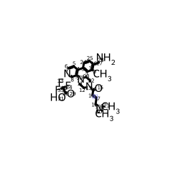 Cc1cc(-c2ccncc2N2CCN(C(=O)/C=C/CN(C)C)CC2)ccc1CN.O=C(O)C(F)(F)F